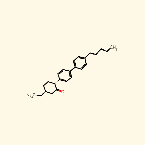 CCCCCc1ccc(-c2ccc([C@H]3CC[C@H](CC)CC3=O)cc2)cc1